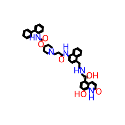 O=C(CCN1CCC(OC(=O)Nc2ccccc2-c2ccccc2)CC1)Nc1ccc(CCNC[C@@H](O)c2ccc(O)c3[nH]c(=O)ccc23)c2ccccc12